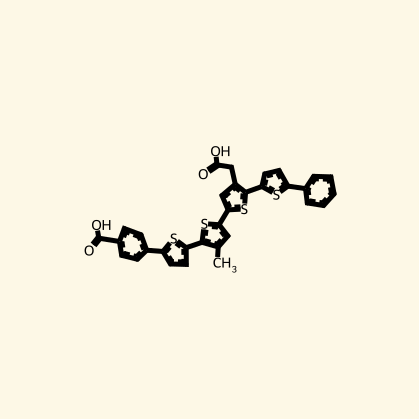 Cc1cc(-c2cc(CC(=O)O)c(-c3ccc(-c4ccccc4)s3)s2)sc1-c1ccc(-c2ccc(C(=O)O)cc2)s1